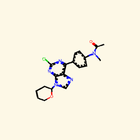 CC(=O)N(C)c1ccc(-c2nc(Cl)nc3c2ncn3C2CCCCO2)cc1